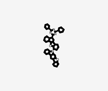 c1ccc(-c2nc(-c3ccccc3)nc(-c3cc4c5cccc(-n6c7ccccc7c7cc8c(cc76)oc6ccccc68)c5oc4c4ccccc34)n2)cc1